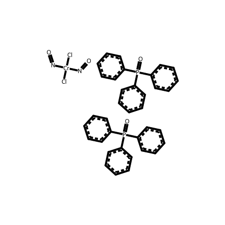 O=P(c1ccccc1)(c1ccccc1)c1ccccc1.O=P(c1ccccc1)(c1ccccc1)c1ccccc1.O=[N][Cr]([Cl])([Cl])[N]=O